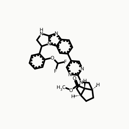 COC(=O)[C@@H]1[C@@H]2CC[C@H]1CN(c1ncc(-c3ccc4nc5n(c4c3)C(c3ccccc3OC(F)F)CN5)cn1)C2